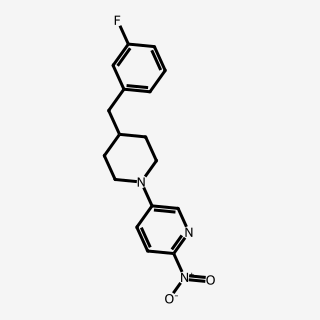 O=[N+]([O-])c1ccc(N2CCC(Cc3cccc(F)c3)CC2)cn1